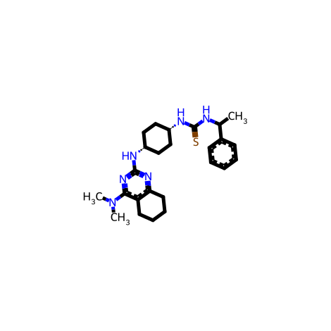 CC(NC(=S)N[C@H]1CC[C@@H](Nc2nc3c(c(N(C)C)n2)CCCC3)CC1)c1ccccc1